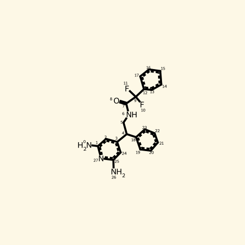 Nc1cc(C(CNC(=O)C(F)(F)c2ccccc2)c2ccccc2)cc(N)n1